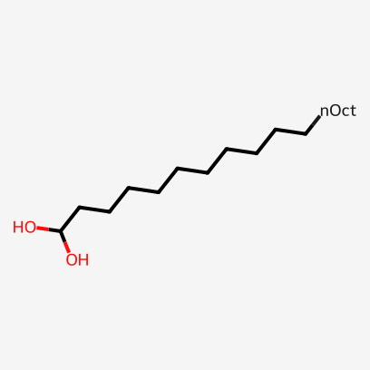 CCCCCCCCCCCCCCCCCCC(O)O